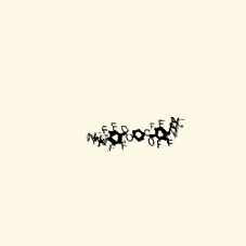 [N-]=[N+]=Nc1c(F)c(F)c(C(=O)OC2CCC(OC(=O)c3c(F)c(F)c(N=[N+]=[N-])c(F)c3F)CC2)c(F)c1F